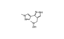 CCCN(C)Cc1c[nH]nc1-c1cnn(C)c1